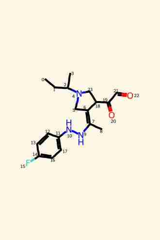 CCC(C)N1CC(=C(C)NNc2ccc(F)cc2)C(C(=O)C=O)C1